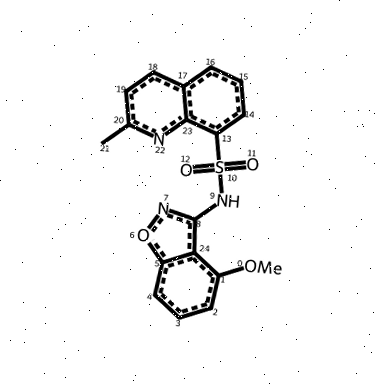 COc1cccc2onc(NS(=O)(=O)c3cccc4ccc(C)nc34)c12